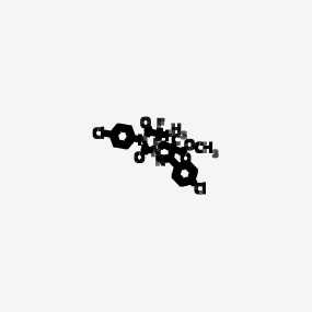 COC(=O)C1(C)CN(C(=O)N(C(=O)C(F)(F)F)c2ccc(Cl)cc2)N=C1c1ccc(Cl)cc1